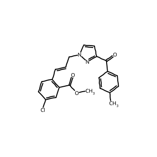 COC(=O)c1cc(Cl)ccc1/C=C/Cn1ccc(C(=O)c2ccc(C)cc2)n1